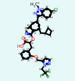 Cn1nc(-c2cc(CC3CCC3)c3c(OC(Cc4ccccc4OCc4ccnn4CC(F)(F)F)C(=O)O)nsc3c2)c2ccc(Cl)cc21